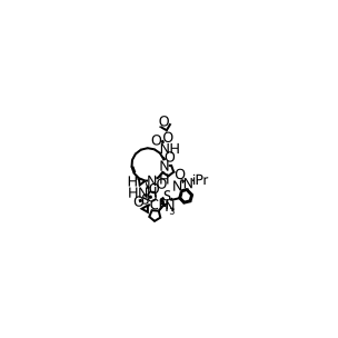 CC(C)n1c(O[C@@H]2C[C@H]3C(=O)N[C@]4(C(=O)NS(=O)(=O)C5(C)CC5)C[C@H]4/C=C\CCCCC[C@H](NC(=O)OC4COC4)C(=O)N3C2)nc2c(-c3nc(C4CCCC4)cs3)cccc21